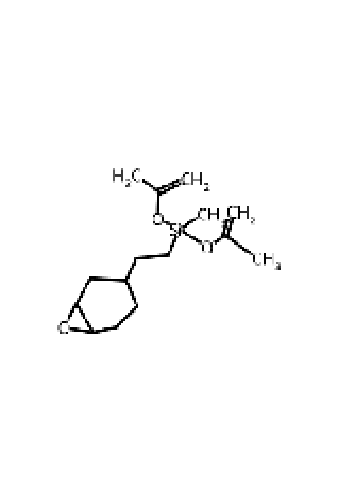 C=C(C)O[Si](C)(CCC1CCC2OC2C1)OC(=C)C